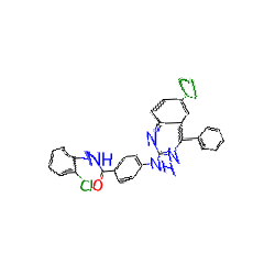 O=C(Nc1ccccc1Cl)c1ccc(Nc2nc(-c3ccccc3)c3cc(Cl)ccc3n2)cc1